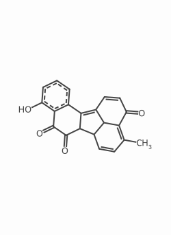 CC1=C2C(=O)C=CC3=C4c5cccc(O)c5C(=O)C(=O)C4C(C=C1)C32